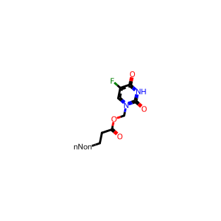 CCCCCCCCCCCC(=O)OCn1cc(F)c(=O)[nH]c1=O